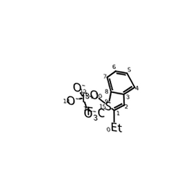 CCC1=Cc2ccccc2S1(O[I+3]([O-])([O-])[O-])C(F)(F)F